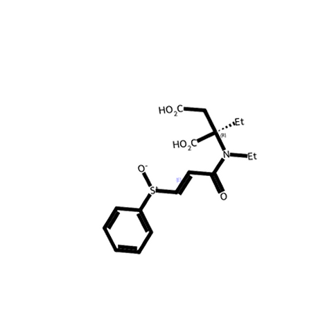 CCN(C(=O)/C=C/[S+]([O-])c1ccccc1)[C@](CC)(CC(=O)O)C(=O)O